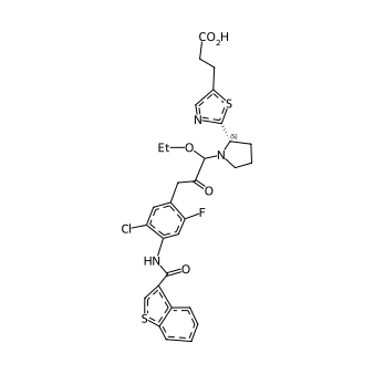 CCOC(C(=O)Cc1cc(Cl)c(NC(=O)c2csc3ccccc23)cc1F)N1CCC[C@H]1c1ncc(CCC(=O)O)s1